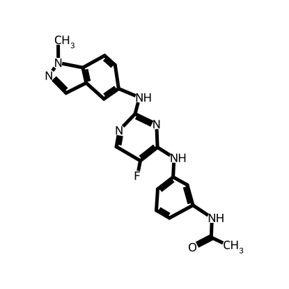 CC(=O)Nc1cccc(Nc2nc(Nc3ccc4c(cnn4C)c3)ncc2F)c1